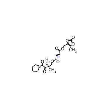 Cc1oc(=O)oc1COC(=O)/C=C/C(=O)OCC(C)(C)C(=O)C(=O)N1CCCCC1